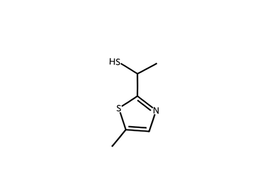 Cc1cnc(C(C)S)s1